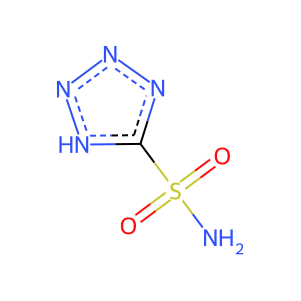 NS(=O)(=O)c1nnn[nH]1